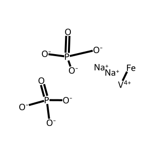 O=P([O-])([O-])[O-].O=P([O-])([O-])[O-].[Na+].[Na+].[V+4][Fe]